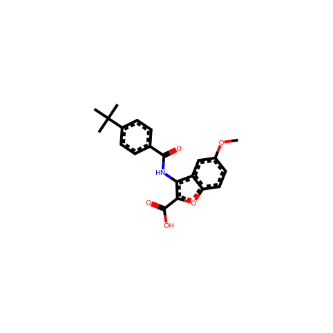 COc1ccc2oc(C(=O)O)c(NC(=O)c3ccc(C(C)(C)C)cc3)c2c1